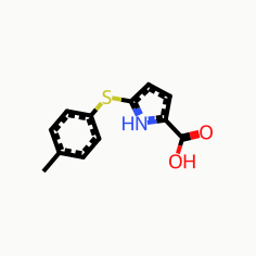 Cc1ccc(Sc2ccc(C(=O)O)[nH]2)cc1